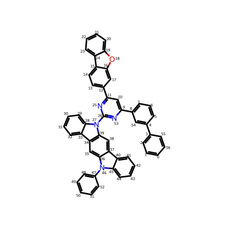 c1ccc(-c2cccc(-c3cc(-c4ccc5c(c4)oc4ccccc45)nc(-n4c5ccccc5c5cc6c(cc54)c4ccccc4n6-c4ccccc4)n3)c2)cc1